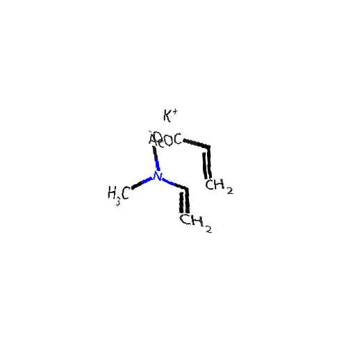 C=CC(=O)[O-].C=CN(C)C(C)=O.[K+]